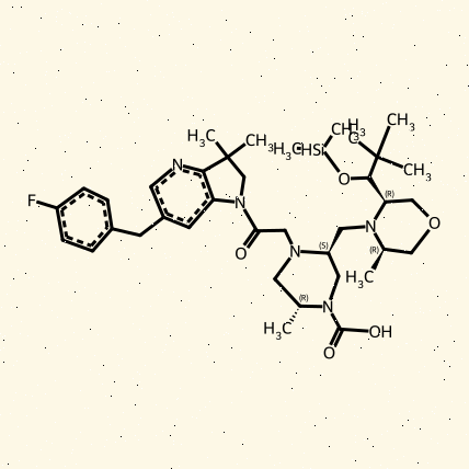 C[C@@H]1CN(CC(=O)N2CC(C)(C)c3ncc(Cc4ccc(F)cc4)cc32)[C@@H](CN2[C@H](C)COC[C@@H]2C(O[SiH](C)C)C(C)(C)C)CN1C(=O)O